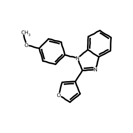 COc1ccc(-n2c(-c3ccoc3)nc3ccccc32)cc1